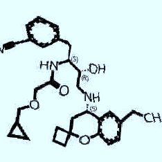 CCc1ccc2c(c1)[C@@H](NC[C@@H](O)[C@H](Cc1cccc(C#N)c1)NC(=O)COCC1CC1)CC1(CCC1)O2